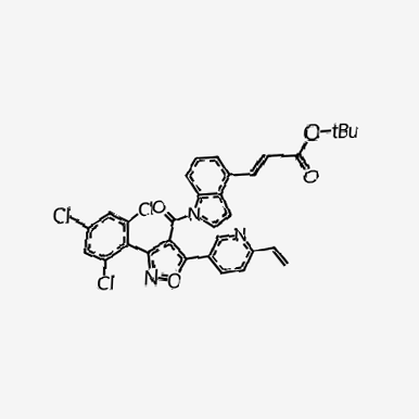 C=Cc1ccc(-c2onc(-c3c(Cl)cc(Cl)cc3Cl)c2C(=O)n2ccc3c(/C=C/C(=O)OC(C)(C)C)cccc32)cn1